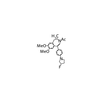 COc1cc2c(cc1OC)C(c1ccc(N3CC[C@@H](F)C3)cc1)=CN(C(C)=O)C(C)C2